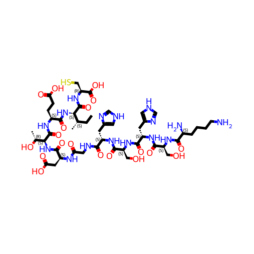 CC[C@H](C)[C@H](NC(=O)[C@H](CCC(=O)O)NC(=O)[C@@H](NC(=O)[C@H](CC(=O)O)NC(=O)CNC(=O)[C@H](Cc1c[nH]cn1)NC(=O)[C@H](CO)NC(=O)[C@H](Cc1c[nH]cn1)NC(=O)[C@H](CO)NC(=O)[C@@H](N)CCCCN)[C@@H](C)O)C(=O)N[C@@H](CS)C(=O)O